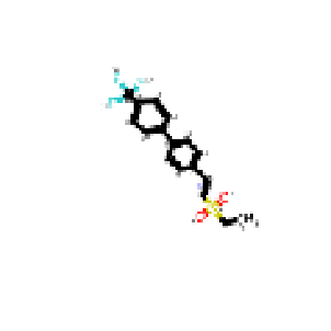 CCS(=O)(=O)/C=C/c1ccc(-c2ccc(C(F)(F)F)cc2)cc1